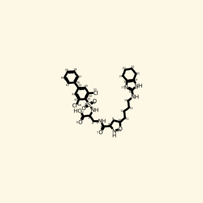 O=C(O)C(CNC(=O)C1CC(CCCCNc2nc3c([nH]2)CCCC3)ON1)NS(=O)(=O)c1c(Cl)cc(-c2ccccc2)cc1Cl